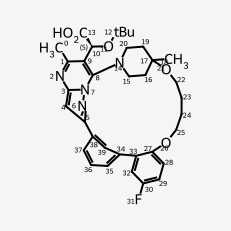 Cc1nc2cc3nn2c(c1[C@H](OC(C)(C)C)C(=O)O)N1CCC(C)(CC1)OCCCCOc1ccc(F)cc1-c1cccc-3c1